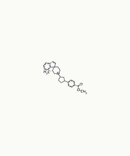 COC(=O)c1ccc(C2CCC(N3CCC4(C=Cc5ccccc54)[C@@H](C)C3)C2)cc1